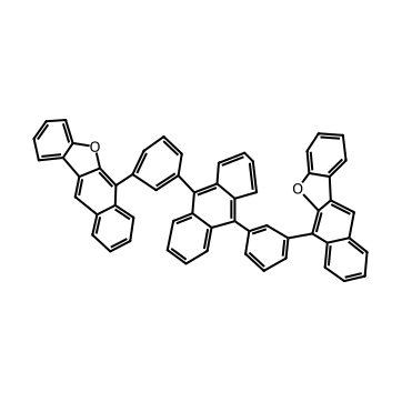 c1cc(-c2c3ccccc3c(-c3cccc(-c4c5ccccc5cc5c4oc4ccccc45)c3)c3ccccc23)cc(-c2c3ccccc3cc3c2oc2ccccc23)c1